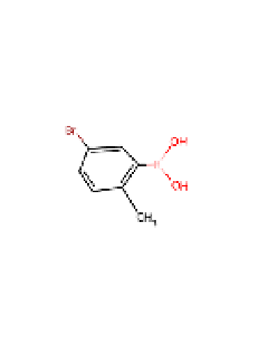 Cc1ccc(Br)cc1B(O)O